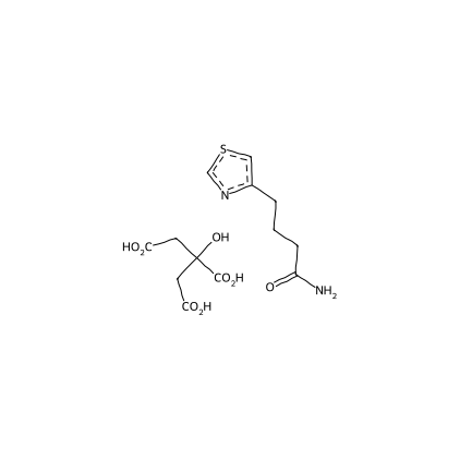 NC(=O)CCCc1cscn1.O=C(O)CC(O)(CC(=O)O)C(=O)O